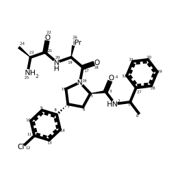 CC(NC(=O)[C@H]1C[C@H](c2ccc(Cl)cc2)CN1C(=O)[C@@H](NC(=O)[C@H](C)N)C(C)C)c1ccccc1